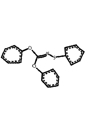 c1ccc(OC(=NSc2ccccc2)Oc2ccccc2)cc1